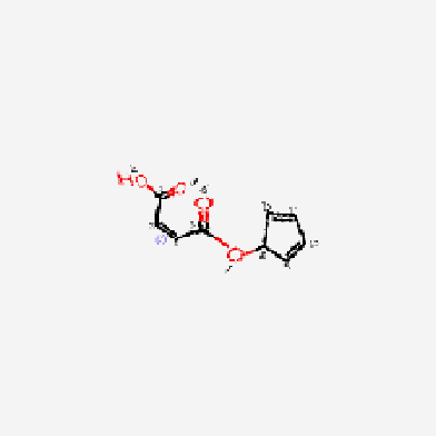 O=C(O)/C=C\C(=O)OC1C=CC=C1